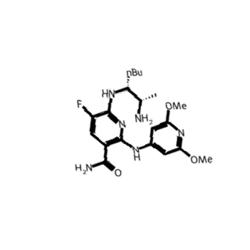 CCCC[C@@H](Nc1nc(Nc2cc(OC)nc(OC)c2)c(C(N)=O)cc1F)[C@H](C)N